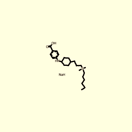 CCCCCC[Si](C)(C)CCCC1CCC(Nc2ccc(C(=O)O)cc2)CC1.[NaH]